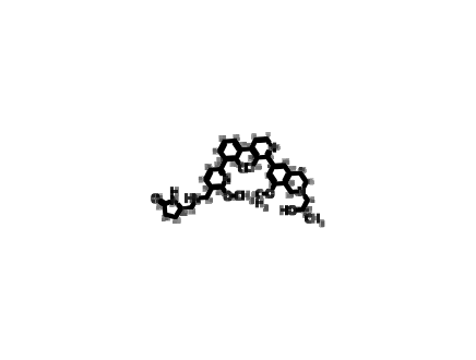 COc1cc(-c2nccc(-c3cccc(-c4ccc(CNC[C@H]5CCC(=O)N5)c(OC)n4)c3Cl)c2Cl)cc2c1CN(C[C@H](C)O)CC2